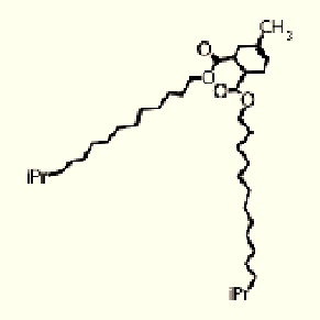 CC1=CCC(C(=O)OCCCCCCCCCCCCC(C)C)C(C(=O)OCCCCCCCCCCCCC(C)C)C1